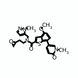 COc1ccc(-c2ccc(=O)n(C)c2)c2sc(C(=O)N(CCC3CO3)Cc3ccnn3C)cc12